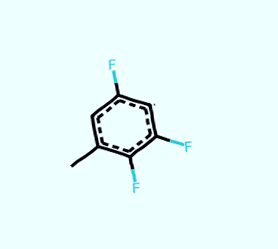 Cc1cc(F)[c]c(F)c1F